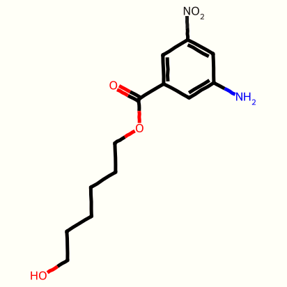 Nc1cc(C(=O)OCCCCCCO)cc([N+](=O)[O-])c1